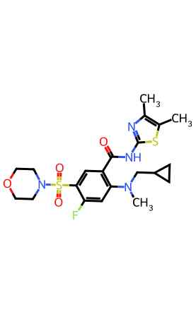 Cc1nc(NC(=O)c2cc(S(=O)(=O)N3CCOCC3)c(F)cc2N(C)CC2CC2)sc1C